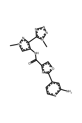 Cn1cc(NC(=O)c2coc(-c3ccnc(N)c3)n2)c(-c2nnnn2C)n1